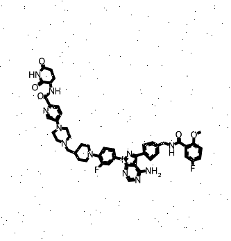 COc1ccc(F)cc1C(=O)NCc1ccc(-c2nn(-c3ccc(N4CCC(CN5CCN(c6ccc(C(=O)NC7CCC(=O)NC7=O)nc6)CC5)CC4)c(F)c3)c3ncnc(N)c23)cc1